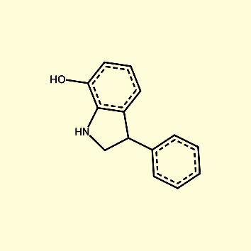 Oc1cccc2c1NCC2c1ccccc1